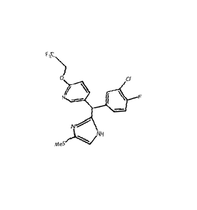 CSc1c[nH]c(C(c2ccc(OCC(F)(F)F)nc2)c2ccc(F)c(Cl)c2)n1